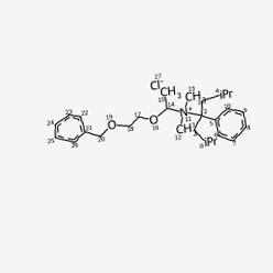 CC(C)CC(CC(C)C)(c1ccccc1)[N+](C)(C)C(C)OCCOCc1ccccc1.[Cl-]